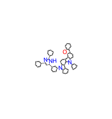 C1=C(c2ccccc2)N=C(c2ccccc2)NC1c1cccc(-n2c3ccccc3c3c2ccc2c4c5oc6ccccc6c5ccc4n(-c4ccccc4)c23)c1